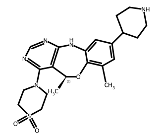 Cc1cc(C2CCNCC2)cc2c1O[C@@H](C)c1c(ncnc1N1CCS(=O)(=O)CC1)N2